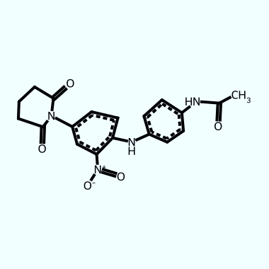 CC(=O)Nc1ccc(Nc2ccc(N3C(=O)CCCC3=O)cc2[N+](=O)[O-])cc1